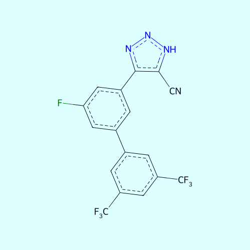 N#Cc1[nH]nnc1-c1cc(F)cc(-c2cc(C(F)(F)F)cc(C(F)(F)F)c2)c1